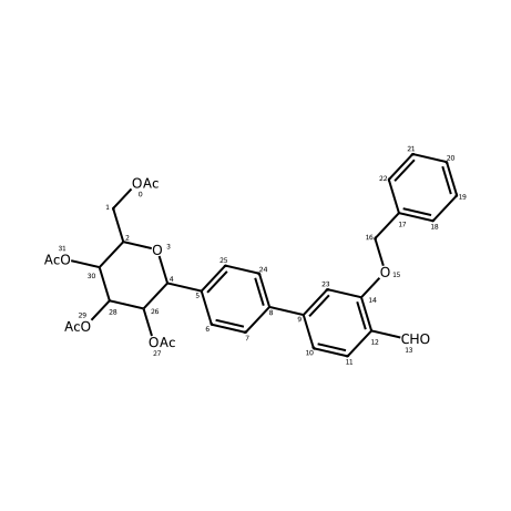 CC(=O)OCC1OC(c2ccc(-c3ccc(C=O)c(OCc4ccccc4)c3)cc2)C(OC(C)=O)C(OC(C)=O)C1OC(C)=O